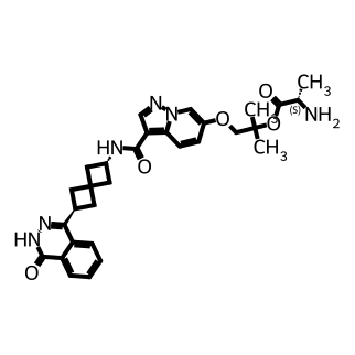 C[C@H](N)C(=O)OC(C)(C)COc1ccc2c(C(=O)N[C@H]3CC4(C3)C[C@H](c3n[nH]c(=O)c5ccccc53)C4)cnn2c1